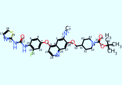 [C-]#[N+]c1cc2c(Oc3ccc(NC(=O)Nc4nccs4)c(F)c3)ccnc2cc1OCC1CCN(C(=O)OC(C)(C)C)CC1